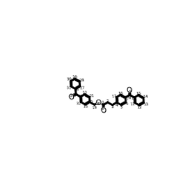 O=C(CCc1ccc(C(=O)c2ccccc2)cc1)OCc1ccc(C(=O)c2ccccc2)cc1